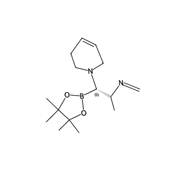 C=NC(C)[C@H](B1OC(C)(C)C(C)(C)O1)N1CC=CCC1